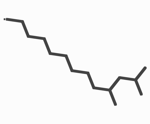 [CH2]CCCCCCCCC(C)CC(C)C